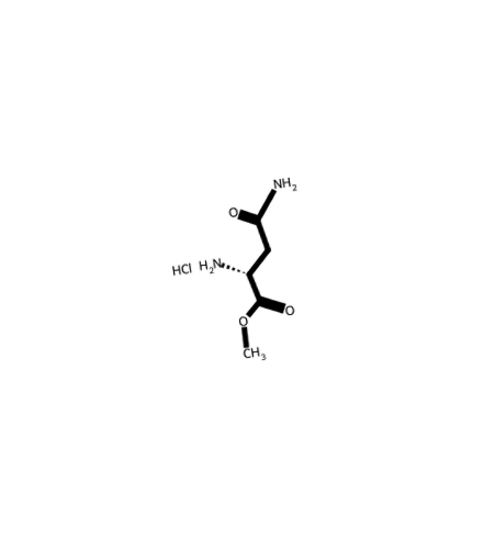 COC(=O)[C@H](N)CC(N)=O.Cl